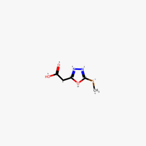 CSc1nnc(CC(=O)O)o1